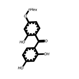 CCCCCCOc1ccc(C(=O)c2ccc(O)cc2O)c(O)c1